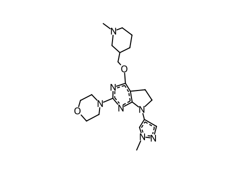 CN1CCCC(COc2nc(N3CCOCC3)nc3c2CCN3c2cnn(C)c2)C1